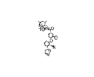 Cc1cc(C)c(CNC(=O)c2ccc(Oc3cccc(-c4ccncn4)c3C#N)c(Cl)c2)c(O)n1